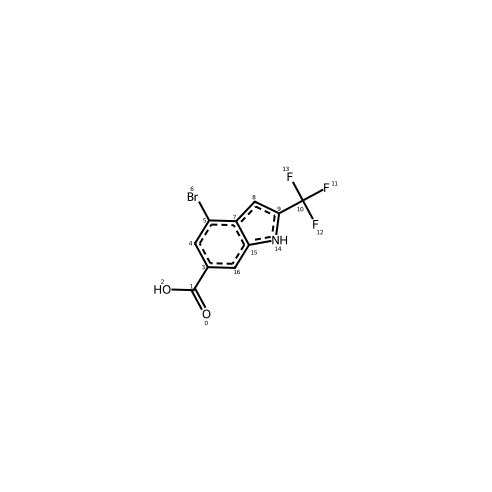 O=C(O)c1cc(Br)c2cc(C(F)(F)F)[nH]c2c1